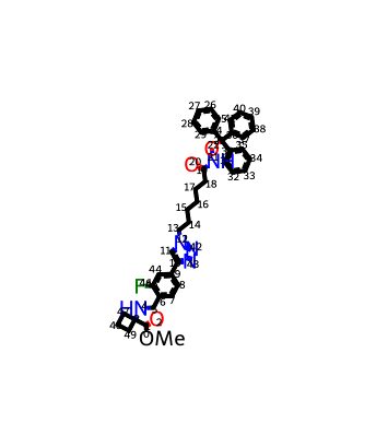 COC(=O)C1(NCc2ccc(-c3cn(CCCCCCC(=O)NOC(c4ccccc4)(c4ccccc4)c4ccccc4)nn3)cc2F)CCC1